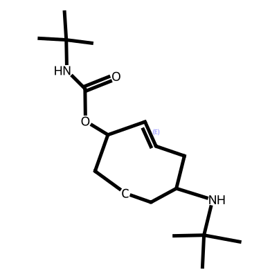 CC(C)(C)NC(=O)OC1/C=C/CC(NC(C)(C)C)CCC1